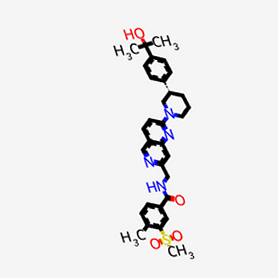 Cc1ccc(C(=O)NCc2cc3nc(N4CCC[C@@H](c5ccc(C(C)(C)O)cc5)C4)ccc3cn2)cc1S(C)(=O)=O